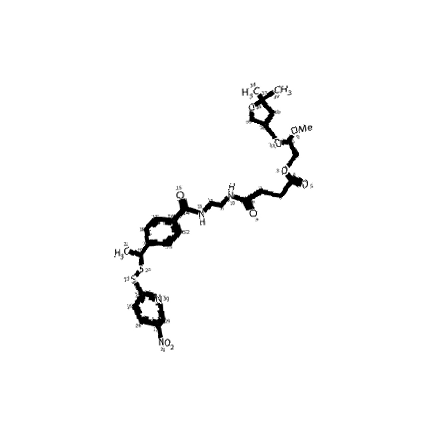 COC(COC(=O)CCC(=O)NCCNC(=O)c1ccc(C(C)SSc2ccc([N+](=O)[O-])cn2)cc1)OC1COC(C)(C)C1